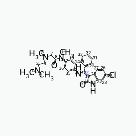 CN(C)CCN(C)CC(=O)N(C)c1ccc(N/C(=C2\C(=O)Nc3cc(Cl)ccc32)c2ccccc2)cc1